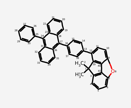 CC1(C)c2cccc3oc4ccc(-c5ccc(-c6c7ccccc7c(-c7ccccc7)c7ccccc67)cc5)c1c4c23